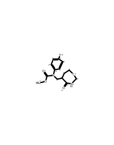 CC(C)(C)OC(=O)N(CC1CCCCNC1=O)c1ccc(F)cc1